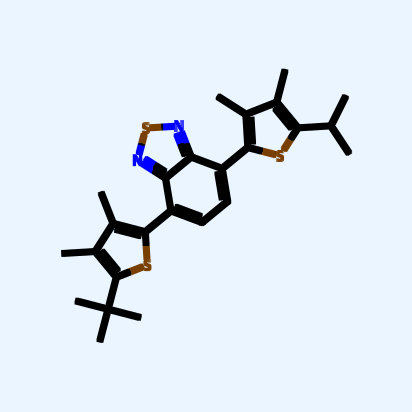 Cc1c(-c2ccc(-c3sc(C(C)(C)C)c(C)c3C)c3nsnc23)sc(C(C)C)c1C